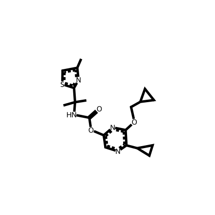 Cc1csc(C(C)(C)NC(=O)Oc2cnc(C3CC3)c(OCC3CC3)n2)n1